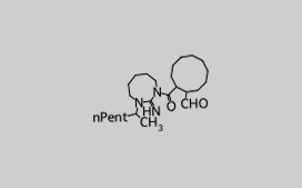 CCCCCC(C)N1CCCCCN(C(=O)C2CCCCCCCCC2C=O)C1=N